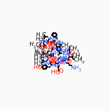 CC[C@H](C)[C@H](NC(=O)[C@H](C)N)C(=O)N[C@@H](CCCCN)C(=O)N[C@@H](Cc1c[nH]c2ccccc12)C(=O)N[C@@H](CCC(=O)O)C(=O)N[C@@H](Cc1ccc(O)cc1)C(=O)N[C@H](C(=O)N[C@@H](CC(C)C)C(=O)N[C@@H](CC(C)C)C(=O)N[C@@H](CC(C)C)C(=O)N[C@@H](Cc1ccccc1)C(=O)N[C@@H](CC(C)C)C(=O)N[C@@H](CC(C)C)C(=O)O)C(C)C